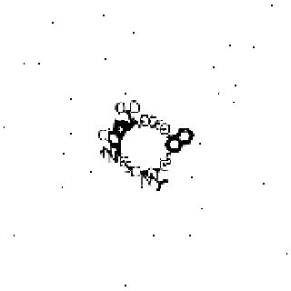 COC(=O)c1c(C)c2c3c(Cl)ccc2n1CCCOc1cc(cc2ccccc12)SCc1cc(nn1C(C)C)CSCc1nn(C)c(C)c1-3